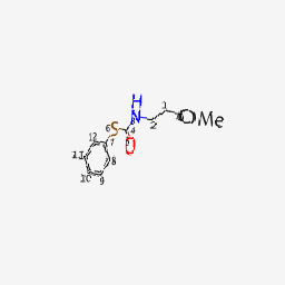 COCCNC(=O)Sc1ccccc1